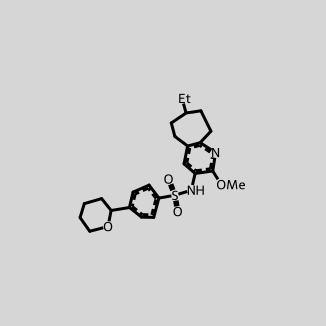 CCC1CCc2cc(NS(=O)(=O)c3ccc(C4CCCCO4)cc3)c(OC)nc2CC1